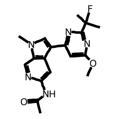 COc1cc(-c2cn(C)c3cnc(NC(C)=O)cc23)nc(C(C)(C)F)n1